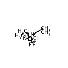 CCn1c(C)nc2cc(C(F)(F)F)c(Cl)c(N=CCCCC(C)C)c21